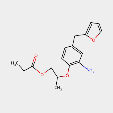 CCC(=O)OCC(C)Oc1ccc(Cc2ccco2)cc1N